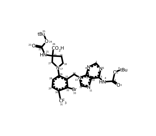 CC(C)(C)OC(=O)Nc1ncnc2c1ncn2Cc1c(N2CCC(NC(=O)OC(C)(C)C)(C(=O)O)C2)ccc(C(F)(F)F)c1Br